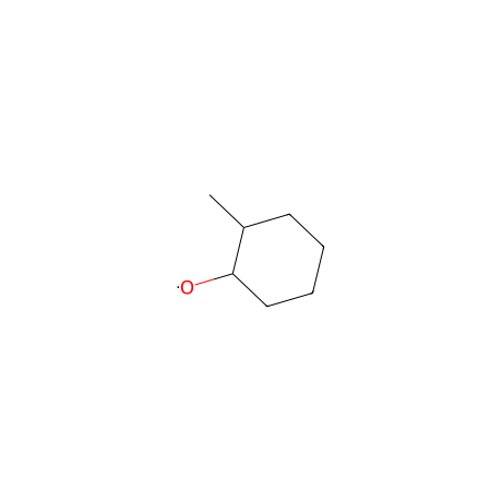 CC1CCCCC1[O]